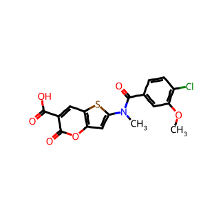 COc1cc(C(=O)N(C)c2cc3oc(=O)c(C(=O)O)cc3s2)ccc1Cl